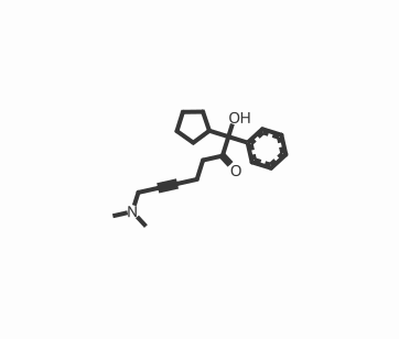 CN(C)CC#CCCC(=O)C(O)(c1ccccc1)C1CCCC1